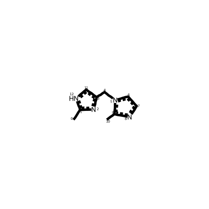 Cc1nc(Cn2ccnc2C)c[nH]1